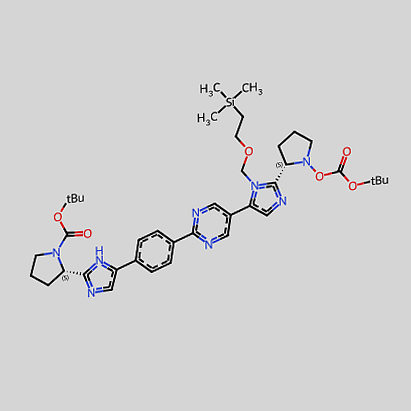 CC(C)(C)OC(=O)ON1CCC[C@H]1c1ncc(-c2cnc(-c3ccc(-c4cnc([C@@H]5CCCN5C(=O)OC(C)(C)C)[nH]4)cc3)nc2)n1COCC[Si](C)(C)C